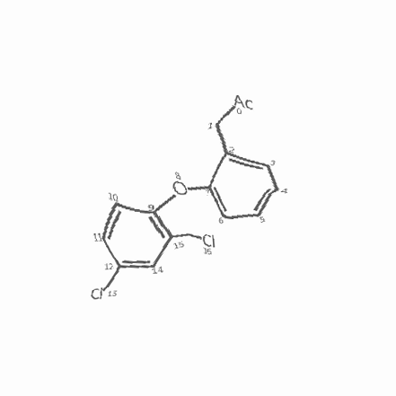 CC(=O)Cc1ccccc1Oc1ccc(Cl)cc1Cl